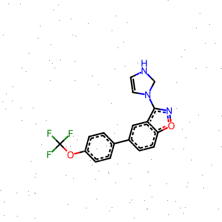 FC(F)(F)Oc1ccc(-c2ccc3onc(N4C=CNC4)c3c2)cc1